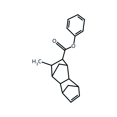 CC1C2CC(C1C(=O)Oc1ccccc1)C1C3C=CC(C3)C21